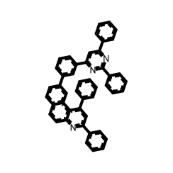 c1ccc(-c2cc(-c3cccc(-c4ccc5ccc6nc(-c7ccccc7)cc(-c7ccccc7)c6c5c4)c3)nc(-c3ccccc3)n2)cc1